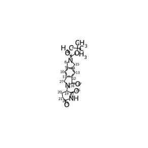 CC(C)(C)OC(=O)N1Cc2cc3c(cc2C1)C(=O)N(C1CCC(=O)NC1=O)C3